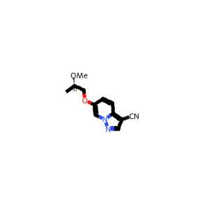 CO[C@@H](C)COc1ccc2c(C#N)cnn2c1